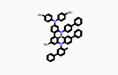 Cc1ccc(-c2ccccc2)cc1N1c2ccc(-c3ccccc3)cc2B2c3c(cc(C(C)(C)C)cc31)-c1ccc(N(c3ccc(C(C)(C)C)cc3)c3ccc(C(C)(C)C)cc3)cc1N2c1ccc(-c2ccccc2)cc1